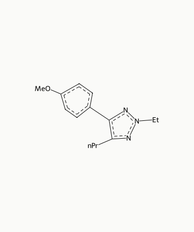 CCCc1nn(CC)nc1-c1ccc(OC)cc1